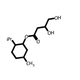 CC1CCC(C(C)C)C(OC(=O)CC(O)CO)C1